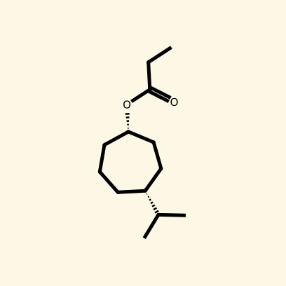 CCC(=O)O[C@H]1CCC[C@@H](C(C)C)CC1